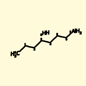 CCCCCC[CH2][AlH2].[HH]